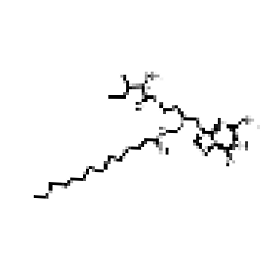 CCCCCCCCCCCCCC(=O)OC[C@H](CCOC(=O)[C@@H](N)C(C)CC)Cn1cnc2c(=O)[nH]c(N)nc21